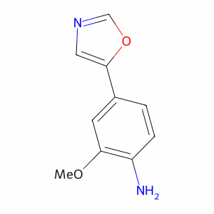 COc1cc(-c2cnco2)ccc1N